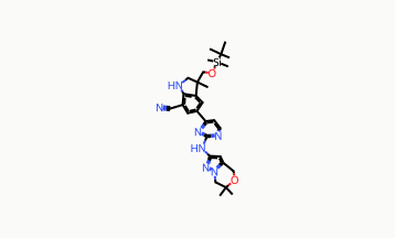 CC1(C)Cn2nc(Nc3nccc(-c4cc(C#N)c5c(c4)C(C)(CO[Si](C)(C)C(C)(C)C)CN5)n3)cc2CO1